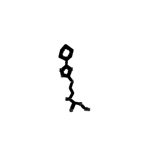 CC(C)(C)OC(=O)NCCSc1nc(-c2ccccc2)ns1